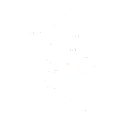 CCCC(CC)(Pc1c(C)cccc1P(c1ccccc1)c1ccccc1)c1cc(C(C)(C)C)cc(C)c1O